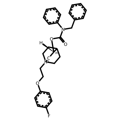 O=C(O[C@H]1C[N+]2(CCOc3ccc(F)cc3)CCC1CC2)N(Cc1ccccc1)c1ccccc1